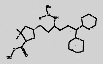 CC(C)(C)OC(=O)N1C[C@@H](CCC(CCC(C2CCCCC2)C2CCCCC2)N[S+]([O-])C(C)(C)C)CC1(C)C